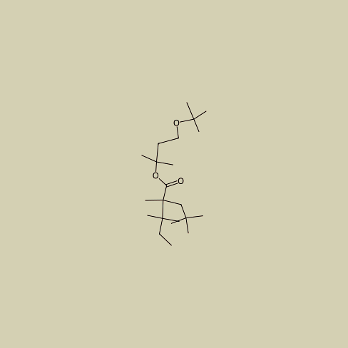 CCC(C)(C)C(C)(CC(C)(C)C)C(=O)OC(C)(C)CCOC(C)(C)C